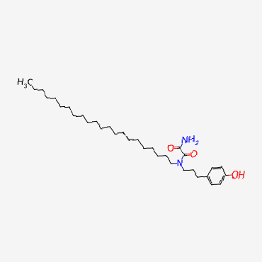 CCCCCCCCCCCCCCCCCCCCCCN(CCCc1ccc(O)cc1)C(=O)C(N)=O